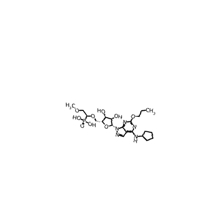 CCCOc1nc(NC2CCCC2)c2cnn([C@@H]3O[C@H](COC(COC)P(=O)(O)O)[C@@H](O)[C@H]3O)c2n1